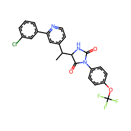 CC(c1ccnc(-c2cccc(Cl)c2)c1)C1NC(=O)N(c2ccc(OC(F)(F)F)cc2)C1=O